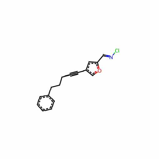 ClN=Cc1cc(C#CCCCc2ccccc2)co1